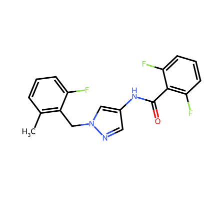 Cc1cccc(F)c1Cn1cc(NC(=O)c2c(F)cccc2F)cn1